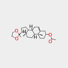 CC(=O)O[C@H]1CC[C@@]2(C)C(=CC[C@H]3[C@@H]4CC[C@H](C5(C)OCCO5)[C@@]4(C)CC[C@@H]32)C1